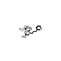 CC(C)(C)OC(=O)N(CCCc1cccnc1)CC(=O)O